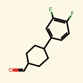 O=CC1CCC(c2ccc(F)c(F)c2)CC1